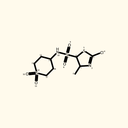 CC1N=C(Cl)SC1S(=O)(=O)NC1CCS(=O)(=O)CC1